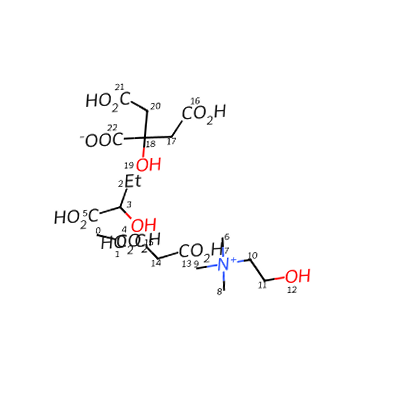 CC(=O)O.CCC(O)C(=O)O.C[N+](C)(C)CCO.O=C(O)CC(=O)O.O=C(O)CC(O)(CC(=O)O)C(=O)[O-]